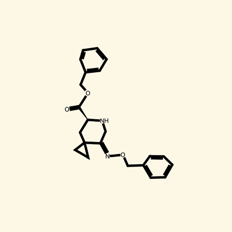 O=C(OCc1ccccc1)[C@@H]1CC2(CC2)/C(=N/OCc2ccccc2)CN1